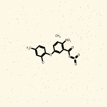 C.O=C(N=S(=O)=O)c1cc(Oc2ccc(C(F)(F)F)cc2Cl)ccc1[N+](=O)[O-]